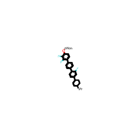 CCCCCCCCCOc1ccc(-c2ccc(-c3ccc(C4=CCC(CCC)CC4)cc3F)cc2)c(F)c1F